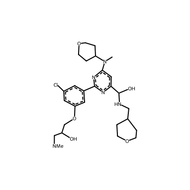 CNCC(O)COc1cc(Cl)cc(-c2nc(C(O)NCC3CCOCC3)cc(N(C)C3CCOCC3)n2)c1